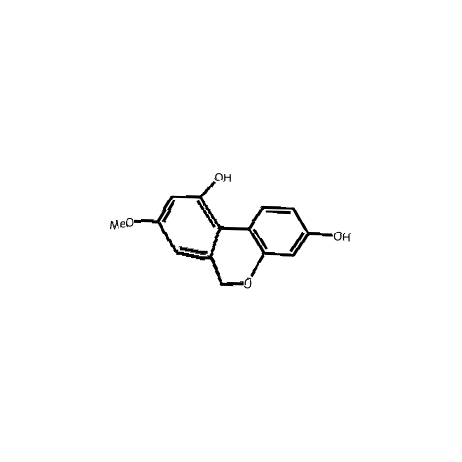 COc1cc(O)c2c(c1)COc1cc(O)ccc1-2